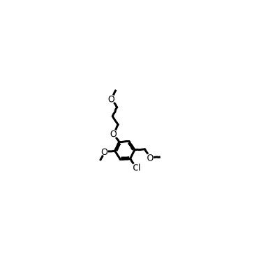 COCCCOc1cc(COC)c(Cl)cc1OC